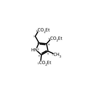 CCOC(=O)Cc1[nH]c(C(=O)OCC)c(C)c1C(=O)OCC